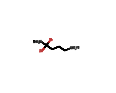 CCOC(=O)CCCC(Br)(Br)C(=O)O